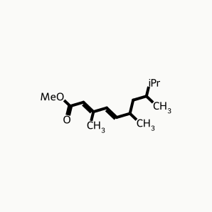 COC(=O)/C=C(C)/C=C/C(C)CC(C)C(C)C